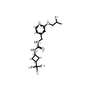 CC(F)COc1cc(CNC(=O)NC2CC(C(F)(F)F)C2)ccn1